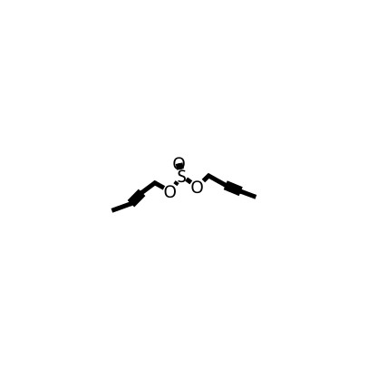 CC#CCOS(=O)OCC#CC